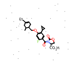 CCC1=CCC(COc2cc(F)c(C(=O)N3C(=O)OC[C@H]3C(=O)O)cc2C2CC2)C(C)C1